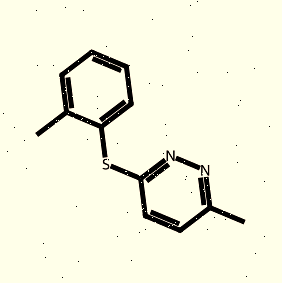 Cc1ccc(Sc2ccccc2C)nn1